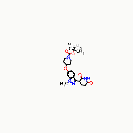 Cn1nc(C2CCC(=O)NC2=O)c2ccc(OC3CCN(C(=O)OC(C)(C)C)CC3)cc21